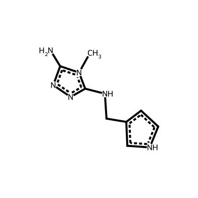 Cn1c(N)nnc1NCc1cc[nH]c1